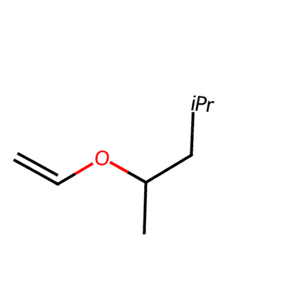 C=COC(C)CC(C)C